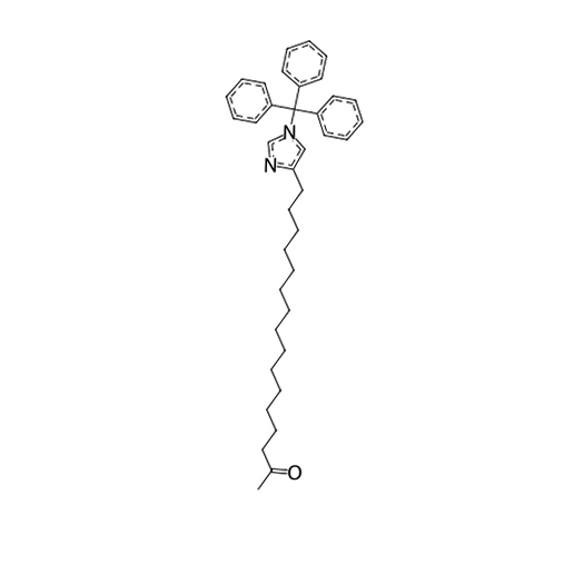 CC(=O)CCCCCCCCCCCCCCc1cn(C(c2ccccc2)(c2ccccc2)c2ccccc2)cn1